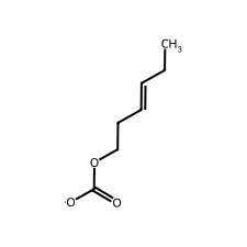 CCC=CCCOC([O])=O